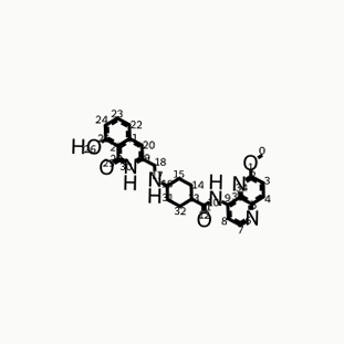 COc1ccc2nccc(NC(=O)C3CCC(NCc4cc5cccc(O)c5c(=O)[nH]4)CC3)c2n1